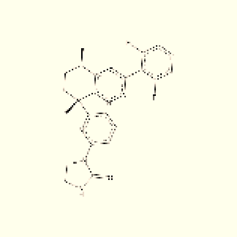 C[C@@H]1CC[C@@](C)(c2cccc(N3CCNC3=O)n2)c2nnc(-c3c(F)cccc3F)cc21